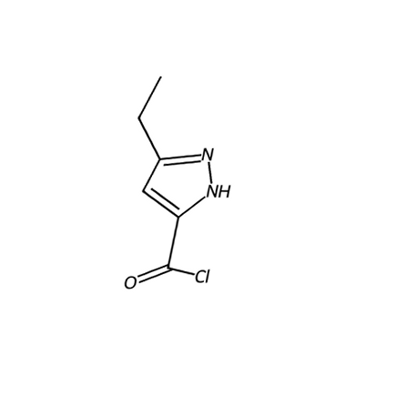 CCc1cc(C(=O)Cl)[nH]n1